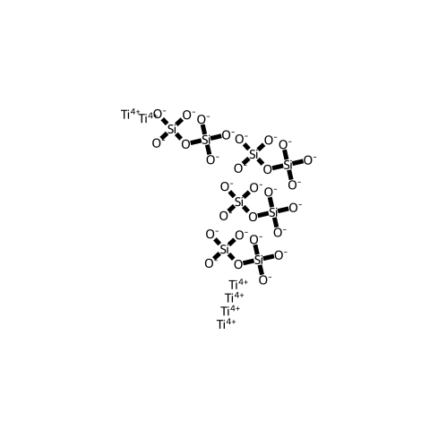 [O-][Si]([O-])([O-])O[Si]([O-])([O-])[O-].[O-][Si]([O-])([O-])O[Si]([O-])([O-])[O-].[O-][Si]([O-])([O-])O[Si]([O-])([O-])[O-].[O-][Si]([O-])([O-])O[Si]([O-])([O-])[O-].[Ti+4].[Ti+4].[Ti+4].[Ti+4].[Ti+4].[Ti+4]